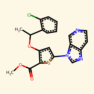 COC(=O)c1sc(-n2cnc3ccncc32)cc1OC(C)c1ccccc1Cl